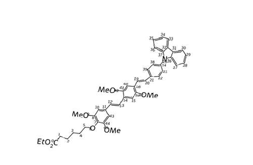 CCOC(=O)CCCCCOc1c(OC)cc(C=Cc2cc(OC)c(C=Cc3ccc(-n4c5ccccc5c5ccccc54)cc3)cc2OC)cc1OC